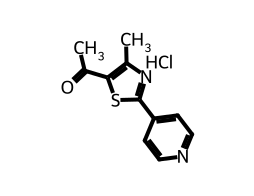 CC(=O)c1sc(-c2ccncc2)nc1C.Cl